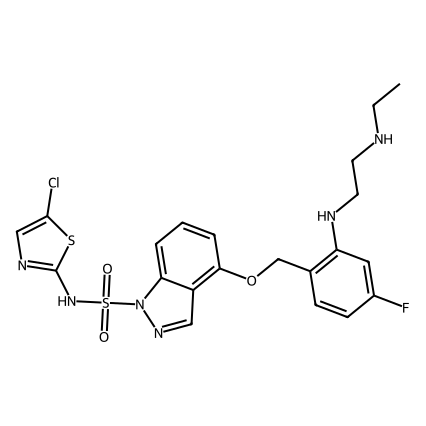 CCNCCNc1cc(F)ccc1COc1cccc2c1cnn2S(=O)(=O)Nc1ncc(Cl)s1